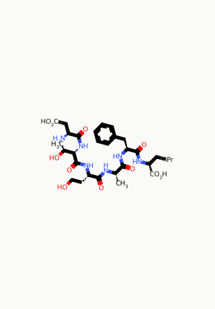 CC(C)C[C@H](NC(=O)[C@H](Cc1ccccc1)NC(=O)[C@H](C)NC(=O)[C@H](CCO)NC(=O)[C@@H](NC(=O)[C@@H](N)CC(=O)O)[C@@H](C)O)C(=O)O